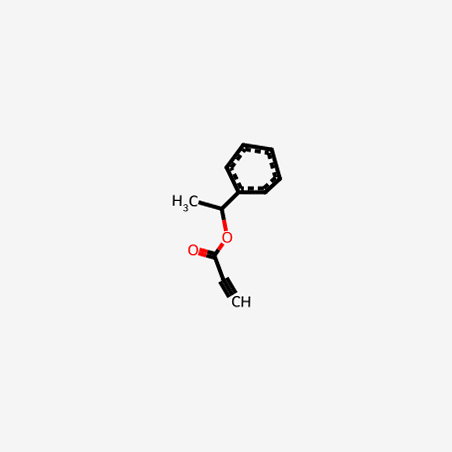 C#CC(=O)OC(C)c1ccccc1